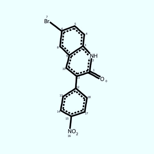 O=c1[nH]c2ccc(Br)cc2cc1-c1ccc([N+](=O)[O-])cc1